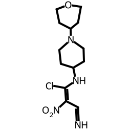 N=C/C(=C(/Cl)NC1CCN(C2CCOCC2)CC1)[N+](=O)[O-]